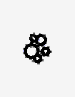 O=C1/C2=C(\O)COC/C=C\N2N2CN1C/C=C\CCc1ncccc1[C@H]2c1ccccc1